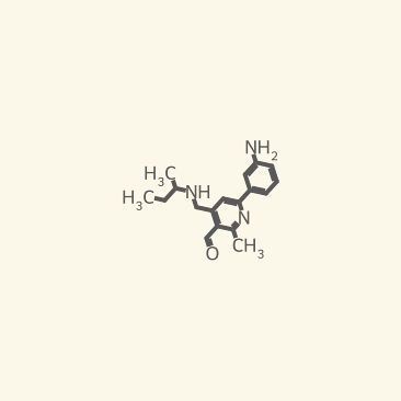 CCC(C)NCc1cc(-c2cccc(N)c2)nc(C)c1C=O